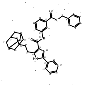 O=C(OCc1ccccc1)c1cccc(NC(=O)c2nc(-c3cccnc3)[nH]c2CCC23CC4CC(CC(C4)C2)C3)c1